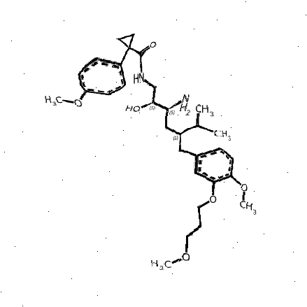 COCCCOc1cc(C[C@@H](C[C@H](N)[C@@H](O)CNC(=O)C2(c3ccc(OC)cc3)CC2)C(C)C)ccc1OC